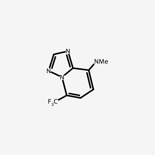 CNc1ccc(C(F)(F)F)n2ncnc12